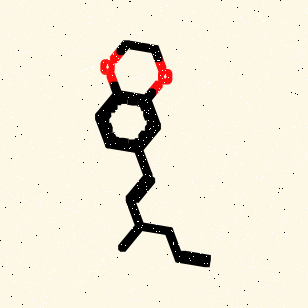 C=CCC(C)C=Cc1ccc2c(c1)OCCO2